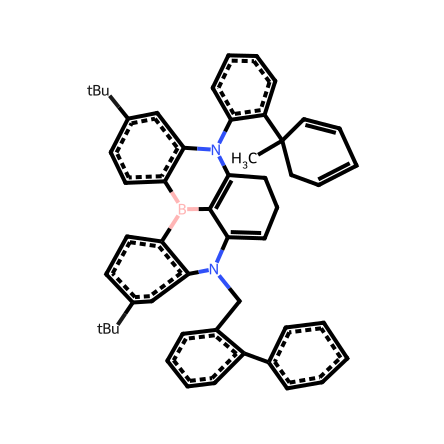 CC(C)(C)c1ccc2c(c1)N(Cc1ccccc1-c1ccccc1)C1=CCCC3=C1B2c1ccc(C(C)(C)C)cc1N3c1ccccc1C1(C)C=CC=CC1